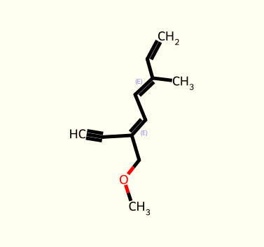 C#C/C(=C\C=C(/C)C=C)COC